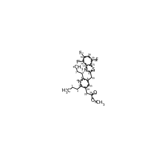 CCCc1nc(CCC)c(Cc2nc3c(F)c(F)cc(F)c3s2)cc1CC(=O)OC